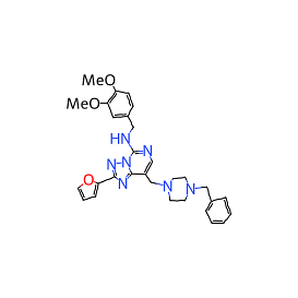 COc1ccc(CNc2ncc(CN3CCN(Cc4ccccc4)CC3)c3nc(-c4ccco4)nn23)cc1OC